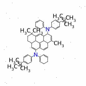 CC1=CC(N(c2ccccc2)C2C=CC([Si](C)(C)C)=CC2)C2C=C3C4C5=C(C=CC1C52)C(N(C1=CCCC=C1)c1ccc([Si](C)(C)C)cc1)=CC4CCC3(C)C